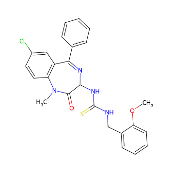 COc1ccccc1CNC(=S)NC1N=C(c2ccccc2)c2cc(Cl)ccc2N(C)C1=O